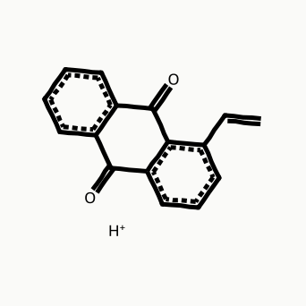 C=Cc1cccc2c1C(=O)c1ccccc1C2=O.[H+]